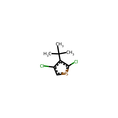 CC(C)(C)c1c(Cl)csc1Cl